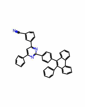 N#Cc1cccc(-c2cc(-c3ccccc3)nc(-c3ccc(-c4c(-c5ccccc5)c5ccccc5c5ccccc45)cc3)n2)c1